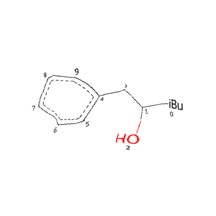 CCC(C)C(O)Cc1ccccc1